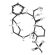 CS(=O)(=O)NC1CCCN2C(=O)[C@H](CO)Oc3ccccc3C3CCC(CC3)OC[C@@H]12